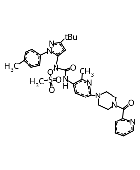 Cc1ccc(-n2nc(C(C)(C)C)cc2N(OS(C)(=O)=O)C(=O)Nc2ccc(N3CCN(C(=O)c4ccccn4)CC3)nc2C)cc1